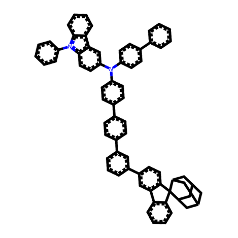 c1ccc(-c2ccc(N(c3ccc(-c4ccc(-c5cccc(-c6ccc7c(c6)-c6ccccc6C76C7CC8CC(C7)CC6C8)c5)cc4)cc3)c3ccc4c(c3)c3ccccc3n4-c3ccccc3)cc2)cc1